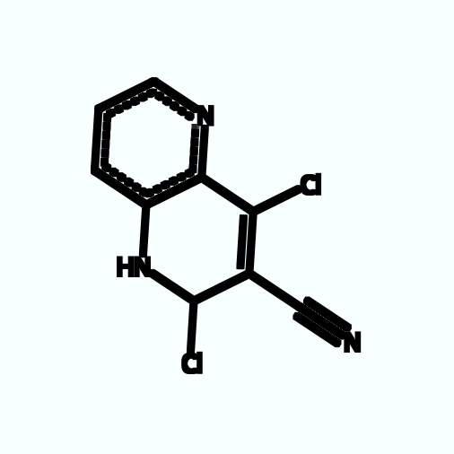 N#CC1=C(Cl)c2ncccc2NC1Cl